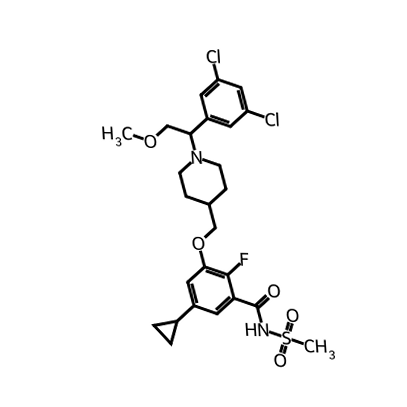 COCC(c1cc(Cl)cc(Cl)c1)N1CCC(COc2cc(C3CC3)cc(C(=O)NS(C)(=O)=O)c2F)CC1